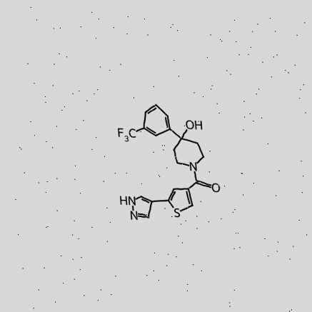 O=C(c1csc(-c2cn[nH]c2)c1)N1CCC(O)(c2cccc(C(F)(F)F)c2)CC1